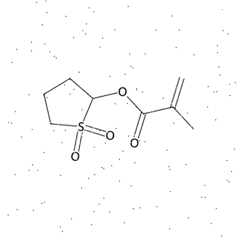 C=C(C)C(=O)OC1CCCS1(=O)=O